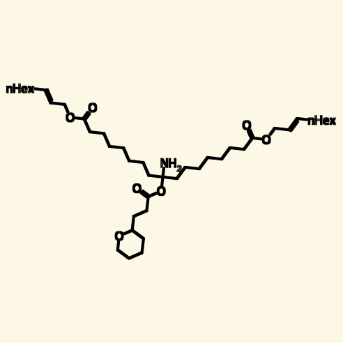 CCCCCC/C=C/COC(=O)CCCCCCCC(N)(CCCCCCCC(=O)OC/C=C/CCCCCC)OC(=O)CCC1CCCCO1